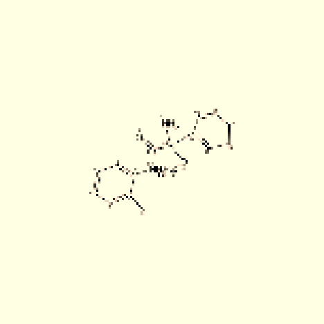 Cc1ccccc1NC(=O)C(N)(OC=O)c1ccccc1